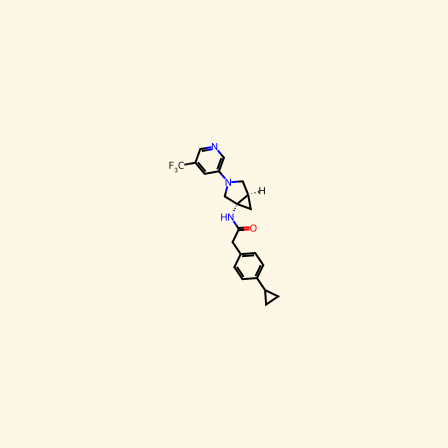 O=C(Cc1ccc(C2CC2)cc1)N[C@@]12C[C@@H]1CN(c1cncc(C(F)(F)F)c1)C2